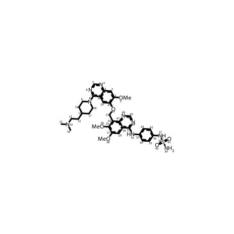 COc1cc2ncnc(N3CCC(CCN(C)C)CC3)c2cc1OCc1c(OC)c(OC)cc2c(Nc3ccc(NS(N)(=O)=O)cc3)ncnc12